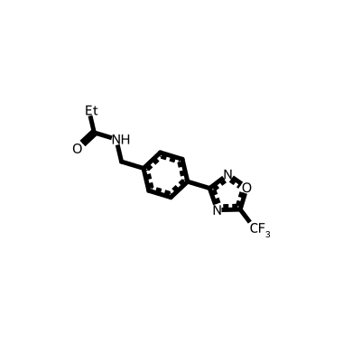 CCC(=O)NCc1ccc(-c2noc(C(F)(F)F)n2)cc1